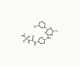 CCc1nc(Nc2ccc(NC(=O)NS(=O)(=O)NC)cc2)nc(-c2cccc(Cl)c2)n1